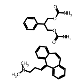 CN(C)CCC=C1c2ccccc2C=Cc2ccccc21.NC(=O)OCC(COC(N)=O)c1ccccc1